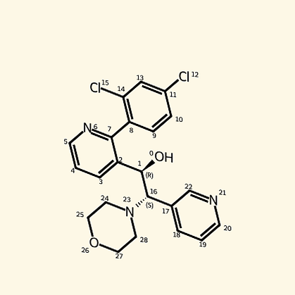 O[C@H](c1cccnc1-c1ccc(Cl)cc1Cl)[C@H](c1cccnc1)N1CCOCC1